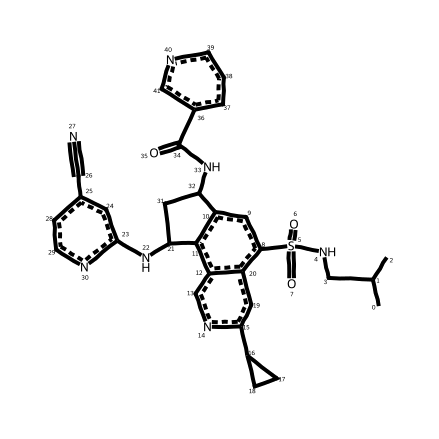 CC(C)CNS(=O)(=O)c1cc2c(c3cnc(C4CC4)cc13)C(Nc1cc(C#N)ccn1)CC2NC(=O)c1cccnc1